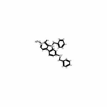 CCC[n+]1ccc2c3ccc(OCc4ccccc4)cc3n(Cc3ccccc3)c2c1C